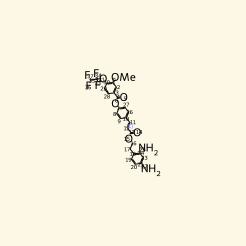 COc1cc(C(=O)Oc2ccc(/C=C/C(=O)OCCc3ccc(N)cc3N)cc2)ccc1OC(F)(F)C(F)F